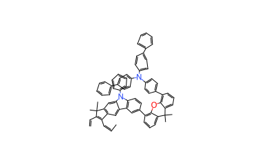 C=CC1=C(/C=C\C)c2cc3c4cc(-c5cccc6c5Oc5c(-c7ccc(N(c8ccc(-c9ccccc9)cc8)c8ccc(-c9ccccc9)cc8)cc7)cccc5C6(C)C)ccc4n(-c4ccccc4)c3cc2C1(C)C